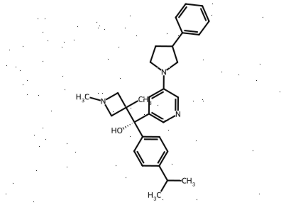 CC(C)c1ccc([C@](O)(c2cncc(N3CCC(c4ccccc4)C3)c2)C2(C)CN(C)C2)cc1